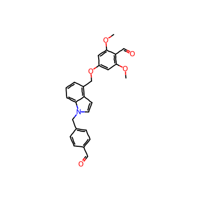 COc1cc(OCc2cccc3c2ccn3Cc2ccc(C=O)cc2)cc(OC)c1C=O